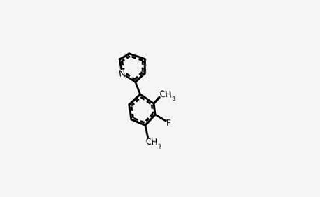 Cc1ccc(-c2ccccn2)c(C)c1F